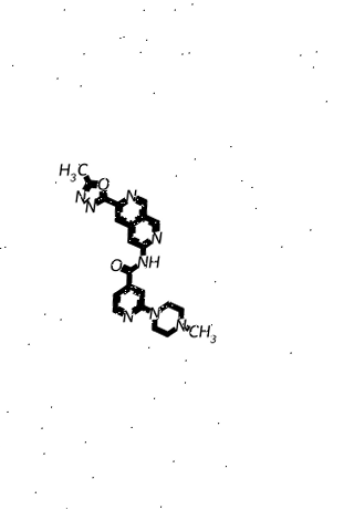 Cc1nnc(-c2cc3cc(NC(=O)c4ccnc(N5CCN(C)CC5)c4)ncc3cn2)o1